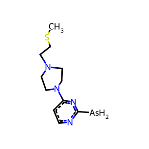 CSCCN1CCN(c2ccnc([AsH2])n2)CC1